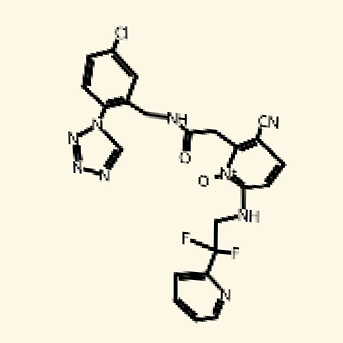 N#Cc1ccc(NCC(F)(F)c2ccccn2)[n+]([O-])c1CC(=O)NCc1cc(Cl)ccc1-n1cnnn1